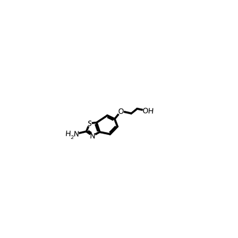 Nc1nc2ccc(OCCO)cc2s1